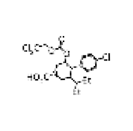 CCC(CC)C1CN(C(=O)O)CC(OC(=O)OCC(Cl)(Cl)Cl)C1c1ccc(Cl)cc1